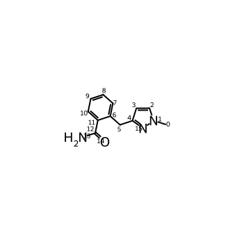 Cn1ccc(Cc2ccccc2C(N)=O)n1